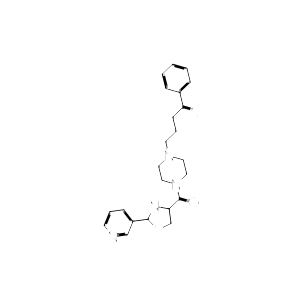 O=C(CCCN1CCN(C(=O)C2CSC(c3cccnc3)N2)CC1)c1ccccc1